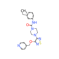 CCc1cccc(NC(=O)N2CCN(c3nsnc3OCc3ccncc3)CC2)c1